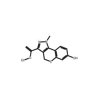 C=C(OCC)c1nn(C)c2c1CSc1cc(O)ccc1-2